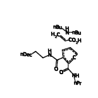 C=CC(=O)O.CCCCCCCCCCCCNC(=O)c1ccccc1C(=O)NCCC.CCCCNCCCC